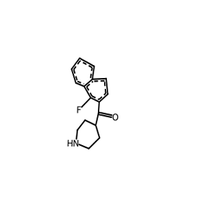 O=C(c1ccc2ccccc2c1F)C1CCNCC1